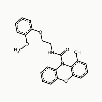 COc1ccccc1OCCNC(=O)N1c2ccccc2Oc2cccc(O)c21